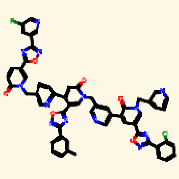 Cc1cccc(-c2noc(-c3cn(Cc4cncc(-c5cc(-c6nc(-c7ccccc7Cl)no6)cn(Cc6cccnc6)c5=O)c4)c(=O)cc3-c3ccc(Cn4cc(-c5nc(-c6cncc(F)c6)no5)ccc4=O)cn3)n2)c1